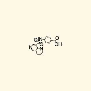 O=C(O)c1ccc(NS(=O)(=O)c2cncc3cccnc23)cc1